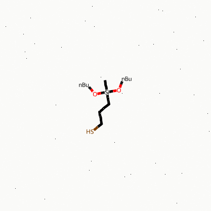 CCCCO[Si](C)(CCCS)OCCCC